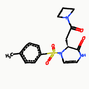 Cc1ccc(S(=O)(=O)N2C=CNC(=O)[C@H]2CC(=O)N2CCC2)cc1